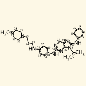 CC(C)n1c(Nc2ccccc2)nc2cnc(Nc3ccc(NCCCN4CCN(C)CC4)cc3)nc21